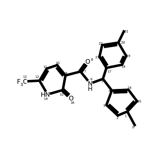 Cc1ccc(C(NC(=O)c2ccc(C(F)(F)F)[nH]c2=O)c2ccc(C)cc2)cc1